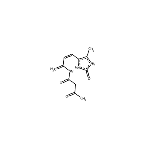 C=C(/C=C\c1[nH]c(=O)[nH]c1C)NC(=O)CC(C)=O